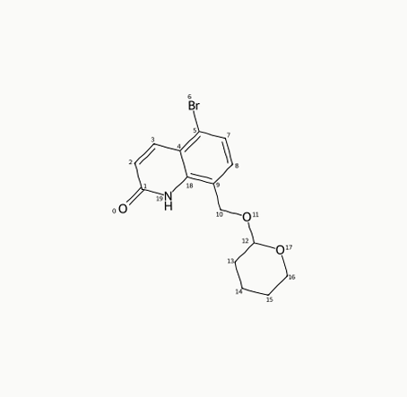 O=c1ccc2c(Br)ccc(COC3CCCCO3)c2[nH]1